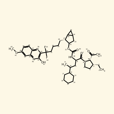 CC[C@@H]1CCN(C(=O)C(CC(C)C2CCCCC2)NC(=O)OC2CC3CC3[C@H]2CCCCC(F)(F)c2nc3ccc(OC)cc3nc2O)[C@@H]1C(C)=O